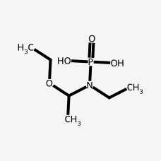 CCOC(C)N(CC)P(=O)(O)O